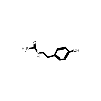 BC(=O)NCCc1ccc(O)cc1